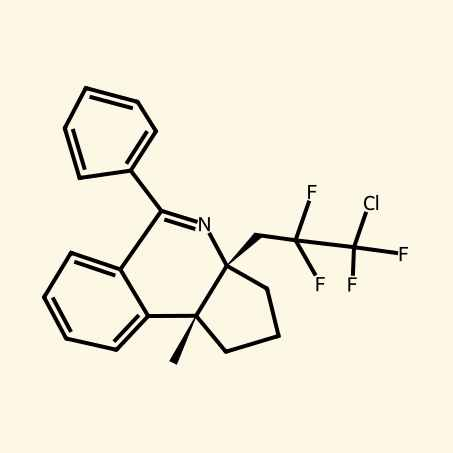 C[C@]12CCC[C@@]1(CC(F)(F)C(F)(F)Cl)N=C(c1ccccc1)c1ccccc12